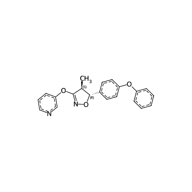 C[C@@H]1C(Oc2cccnc2)=NO[C@H]1c1ccc(Oc2ccccc2)cc1